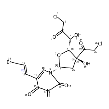 O=C(CCl)C(O)[C@H]1O[C@@H](n2cc(/C=C/Br)c(=O)[nH]c2=O)C[C@@]1(O)C(=O)CCl